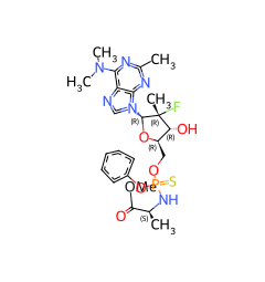 COC(=O)[C@H](C)NP(=S)(OC[C@H]1O[C@@H](n2cnc3c(N(C)C)nc(C)nc32)[C@](C)(F)[C@@H]1O)Oc1ccccc1